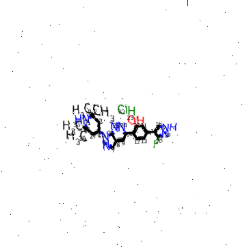 CC1(C)CC(n2ncc3cc(-c4ccc(-c5c[nH]nc5F)cc4O)nnc32)CC(C)(C)N1.Cl